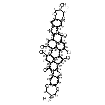 CC1COc2cc3nc4c5cc(Cl)c6c7c(Cl)cc8c(=O)n9c%10cc%11c(cc%10nc9c9cc(Cl)c(c%10c(Cl)cc(c(=O)n4c3cc2OC1)c5c%106)c7c89)OCC(C)CO%11